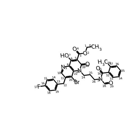 CCOC(=O)c1c(O)c2ncc(Cc3ccc(F)cc3)c(Br)c2n(CCCN(C=O)C(=O)c2ccccc2C)c1=O